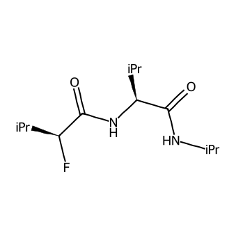 CC(C)NC(=O)[C@@H](NC(=O)[C@@H](F)C(C)C)C(C)C